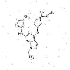 Cc1cnc(Nc2cc3c(ccn3CC(F)(F)F)c(O[C@H]3CCN(C(=O)OC(C)(C)C)C3)n2)s1